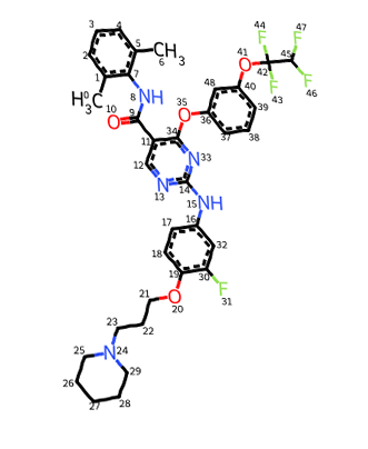 Cc1cccc(C)c1NC(=O)c1cnc(Nc2ccc(OCCCN3CCCCC3)c(F)c2)nc1Oc1cccc(OC(F)(F)C(F)F)c1